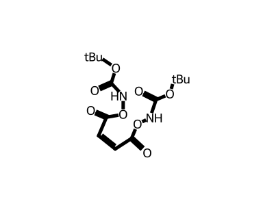 CC(C)(C)OC(=O)NOC(=O)/C=C\C(=O)ONC(=O)OC(C)(C)C